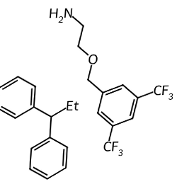 CCC(c1ccccc1)c1ccccc1.NCCOCc1cc(C(F)(F)F)cc(C(F)(F)F)c1